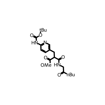 CCCCC(=O)CNC(=O)C(Cc1ccc(NC(=O)OC(C)(C)C)nc1)C(=O)OC